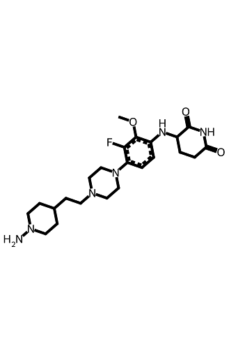 COc1c(NC2CCC(=O)NC2=O)ccc(N2CCN(CCC3CCN(N)CC3)CC2)c1F